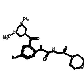 C[C@@H]1C[C@H](C)CN(C(=O)c2cc(Br)ccc2NC(=O)NCC(=O)N2CCOCC2)C1